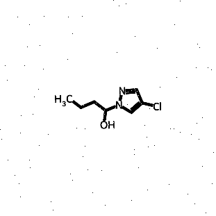 CCCC(O)n1cc(Cl)cn1